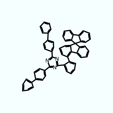 c1ccc(-c2ccc(-c3nc(-c4ccc(-c5ccccc5)cc4)nc(-c4ccccc4-c4cccc5c4-c4ccccc4C54c5ccccc5-c5ccccc54)n3)cc2)cc1